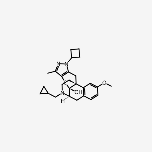 COc1ccc2c(c1)[C@]13CCN(CC4CC4)[C@H](C2)[C@]1(O)Cc1c(C)nn(C2CCC2)c1C3